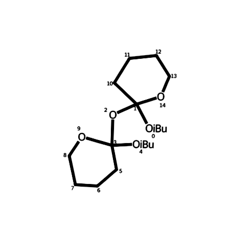 CC(C)COC1(OC2(OCC(C)C)CCCCO2)CCCCO1